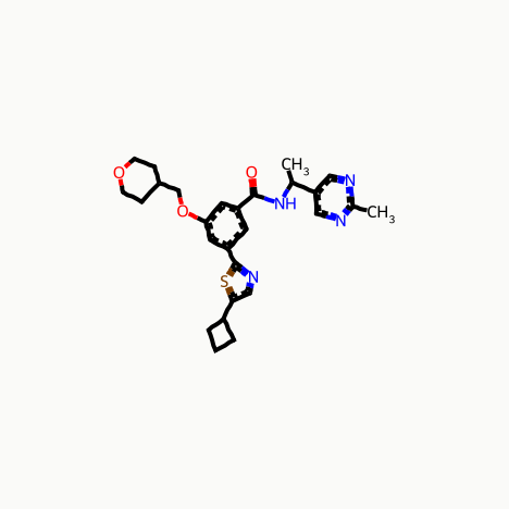 Cc1ncc(C(C)NC(=O)c2cc(OCC3CCOCC3)cc(-c3ncc(C4CCC4)s3)c2)cn1